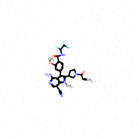 C=CC(=O)N1CCC(c2c(-c3ccc(C(=O)NC(F)C(F)F)c(OC)c3)c3c(N)ncc(C#N)c3n2C)C1